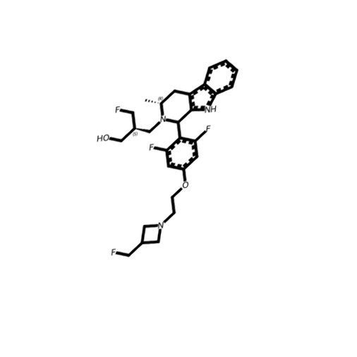 C[C@@H]1Cc2c([nH]c3ccccc23)C(c2c(F)cc(OCCN3CC(CF)C3)cc2F)N1C[C@@H](CO)CF